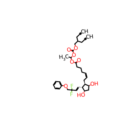 C#CCC(CC#C)COC(=O)OC(C)OC(=O)CCC/C=C\C[C@@H]1[C@@H](/C=C/C(F)(F)COc2ccccc2)[C@H](O)C[C@@H]1O